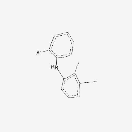 CC(=O)c1ccccc1Nc1cccc(C)c1C